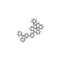 c1ccc(-n2c3ccccc3c3cc(-c4cccc(-c5c6ccccc6c(-c6c7ccccc7cc7c6oc6ccccc67)c6ccccc56)c4)ccc32)cc1